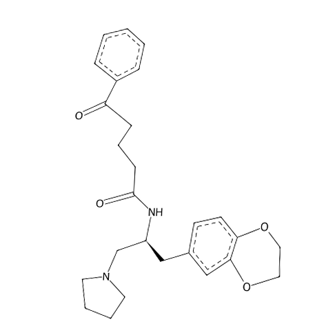 O=C(CCCC(=O)c1ccccc1)N[C@@H](Cc1ccc2c(c1)OCCO2)CN1CCCC1